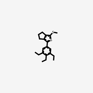 CCc1cc(-c2sc(SC)c3c2CCC3)cc(CC)c1CC